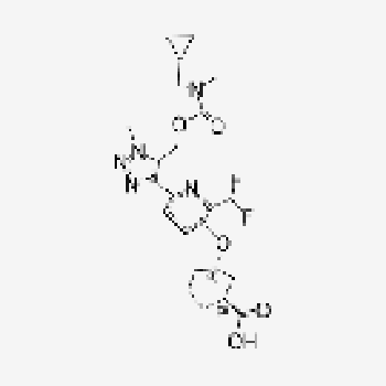 CN(CC1CC1)C(=O)OCc1c(-c2ccc(O[C@H]3CCC[C@H](C(=O)O)C3)c(C(F)F)n2)nnn1C